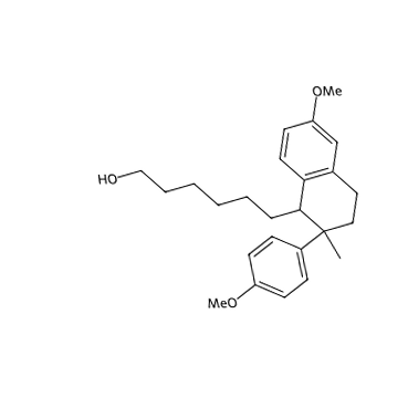 COc1ccc(C2(C)CCc3cc(OC)ccc3C2CCCCCCO)cc1